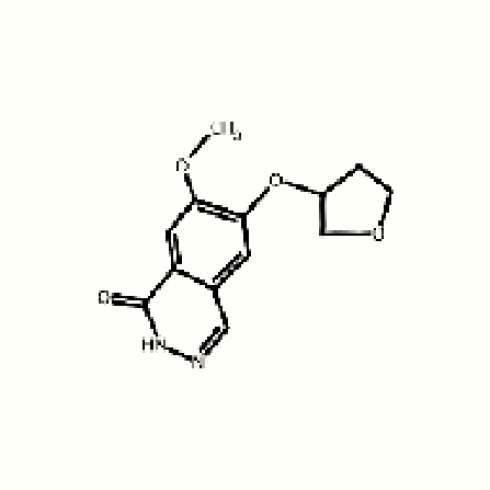 COc1cc2c(=O)[nH]ncc2cc1OC1CCOC1